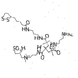 CCC(C)(CC(C)(CC(C)(C)C(=O)NCCCNC(=O)CCCCC1CCSS1)C(=O)NCCC[N+](C)(C)CCCS(=O)(=O)O)C(=O)NCCCNC(C)=O